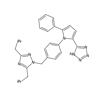 CC(C)Cc1nc(CC(C)C)n(Cc2ccc(-n3c(-c4ccccc4)ccc3-c3nnn[nH]3)cc2)n1